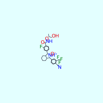 CC(CO)ONC(=O)c1ccc(C2C3CCCCC3C(c3ccc(C#N)c(C(F)(F)F)c3)[NH+]2[O-])cc1F